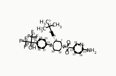 CC(C)(C)C#C[C@@H]1CN(S(=O)(=O)c2ccc(N)nc2)CCN1c1ccc(C(O)(C(F)(F)F)C(F)(F)F)cc1